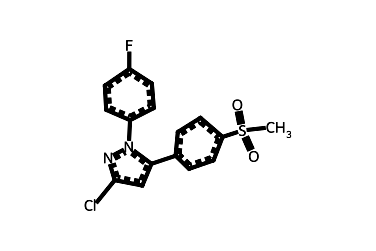 CS(=O)(=O)c1ccc(-c2cc(Cl)nn2-c2ccc(F)cc2)cc1